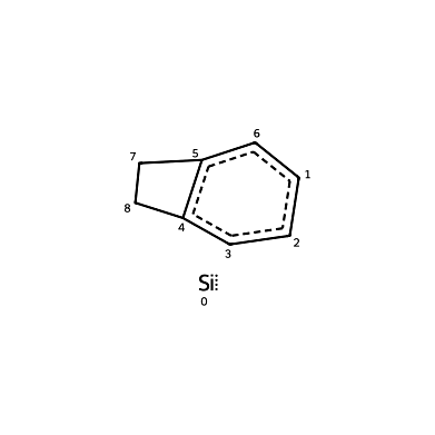 [Si].c1ccc2c(c1)CC2